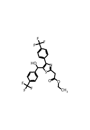 CCOC(=O)Cc1nc(-c2ccc(C(F)(F)F)cc2)c(C(O)c2ccc(C(F)(F)F)cc2)s1